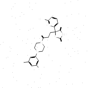 Cc1cccc(C2(CCC(=O)N3CCN(c4cc(Cl)cc(Cl)c4)[C@@H](C)C3)NC(=O)NC2=O)n1